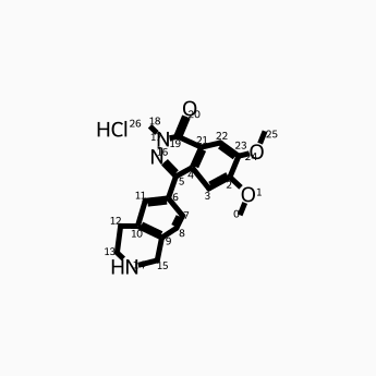 COc1cc2c(-c3ccc4c(c3)CCNC4)nn(C)c(=O)c2cc1OC.Cl